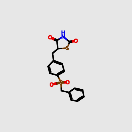 O=C1NC(=O)C(Cc2ccc(S(=O)(=O)Cc3ccccc3)cc2)S1